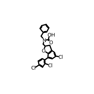 O=C(O)N(Cc1ccccc1)CC1Cc2cc(Cl)cc(-c3ccc(Cl)cc3Cl)c2O1